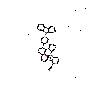 N#Cc1cccc(-c2ccc(-n3c4ccccc4c4ccccc43)cc2)c1-c1ccccc1-n1c2ccccc2c2c(C#N)cccc21